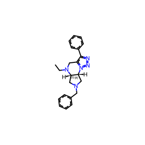 CCN1Cc2c(-c3ccccc3)nnn2[C@@H]2CN(Cc3ccccc3)C[C@@H]21